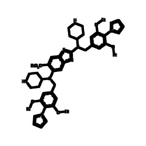 CCOC(=O)c1cc2sc(N(Cc3cc(OCC)c(-n4cccc4)c(OCC)c3)C3CCNCC3)nc2cc1N(Cc1cc(OCC)c(-n2cccc2)c(OCC)c1)C1CCNCC1